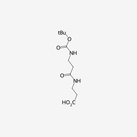 CC(C)(C)OC(=O)NCCC(=O)NCCC(=O)O